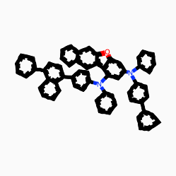 c1ccc(-c2ccc(N(c3ccccc3)c3cc(N(c4ccccc4)c4ccc(-c5ccc(-c6ccccc6)c6ccccc56)cc4)c4c(c3)oc3cc5ccccc5cc34)cc2)cc1